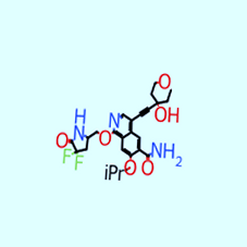 CC(C)Oc1cc2c(OCC3CC(F)(F)C(=O)N3)ncc(C#CC3(O)CCOCC3)c2cc1C(N)=O